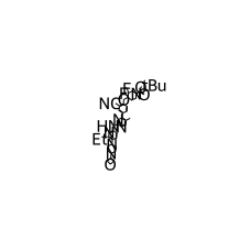 CCc1nc(Nc2ncc(C)c(-c3ccc(OC4CCN(C(=O)OC(C)(C)C)CC4(F)F)c(C#N)c3)n2)ccc1N1CCN(C2COC2)CC1